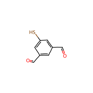 O=Cc1cc(S)cc(C=O)c1